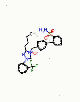 CCCCC1=NN(c2ccccc2C(F)(F)F)C[N+]1([O-])Cc1ccc(-c2ccccc2S(N)(=O)=O)cc1